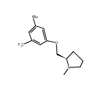 CN1CCC[C@@H]1COc1cc(C(C)(C)C)cc(C(F)(F)F)c1